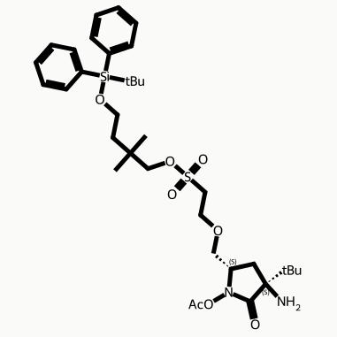 CC(=O)ON1C(=O)[C@@](N)(C(C)(C)C)C[C@H]1COCCS(=O)(=O)OCC(C)(C)CCO[Si](c1ccccc1)(c1ccccc1)C(C)(C)C